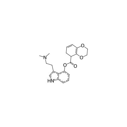 CN(C)CCc1c[nH]c2cccc(OC(=O)C3CC=CC4=C3OCCO4)c12